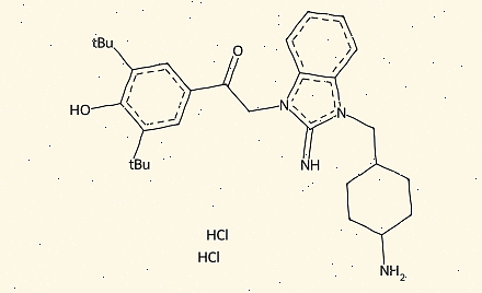 CC(C)(C)c1cc(C(=O)Cn2c(=N)n(CC3CCC(N)CC3)c3ccccc32)cc(C(C)(C)C)c1O.Cl.Cl